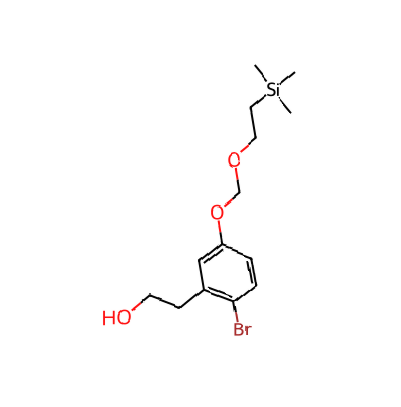 C[Si](C)(C)CCOCOc1ccc(Br)c(CCO)c1